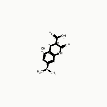 CN(C)c1ccc2c(c1)NC(=O)C(C(=O)O)C2.[KH]